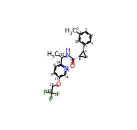 Cc1cccc([C@H]2C[C@@H]2C(=O)N[C@H](C)c2ccc(OCC(F)(F)F)cn2)c1